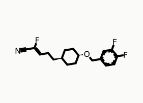 N#CC(F)=CCC[C@H]1CC[C@H](OCc2ccc(F)c(F)c2)CC1